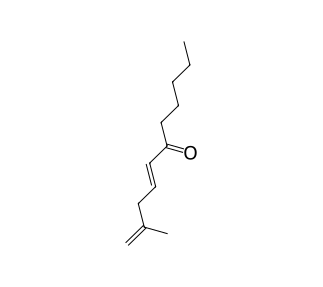 C=C(C)CC=CC(=O)CCCCC